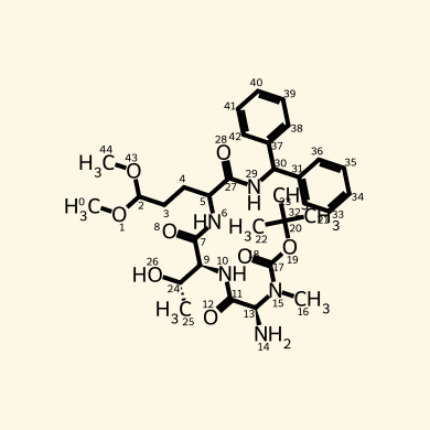 COC(CCC(NC(=O)[C@@H](NC(=O)[C@H](N)N(C)C(=O)OC(C)(C)C)[C@H](C)O)C(=O)NC(c1ccccc1)c1ccccc1)OC